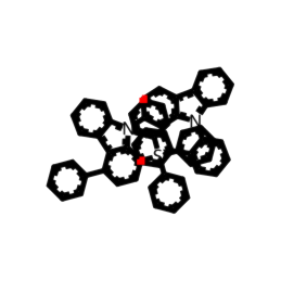 c1ccc(-c2ccccc2-n2c3ccccc3c3ccc(-n4c5ccccc5c5c(-c6ccccc6)ccc([Si](c6ccccc6)(c6ccccc6)c6ccccc6)c54)cc32)cc1